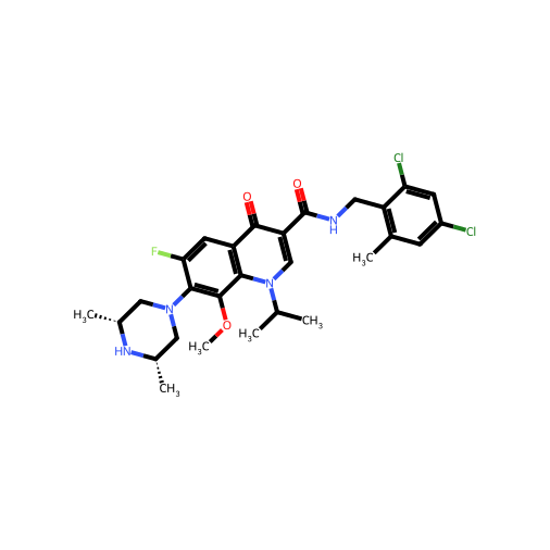 COc1c(N2C[C@@H](C)N[C@@H](C)C2)c(F)cc2c(=O)c(C(=O)NCc3c(C)cc(Cl)cc3Cl)cn(C(C)C)c12